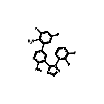 Nc1ncc(-c2cc(F)cc(F)c2N)cc1-c1nnnn1-c1cccc(F)c1F